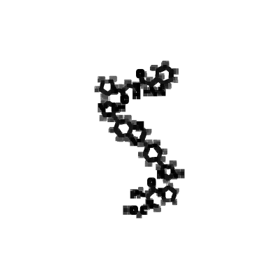 CC(C)[C@@H](C(=O)N1CCC[C@H]1c1nc(-c2ccc(-c3cnc4cc(-c5cnc([C@@H]6CCCN6C(=O)CNC(=O)c6[nH]nc7ccccc67)[nH]5)ccc4n3)cc2)c[nH]1)N(C)C(=O)O